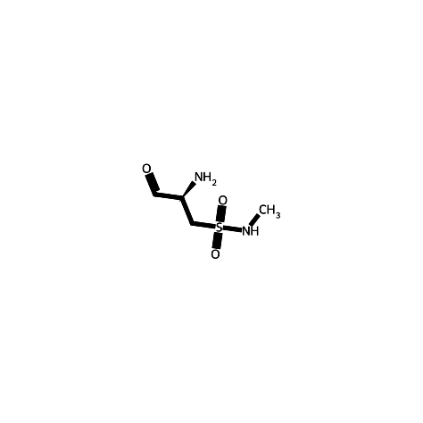 CNS(=O)(=O)C[C@H](N)C=O